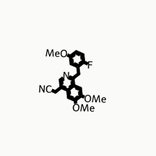 COc1ccc(F)c(Cc2ncc(CC#N)c3cc(OC)c(OC)cc23)c1